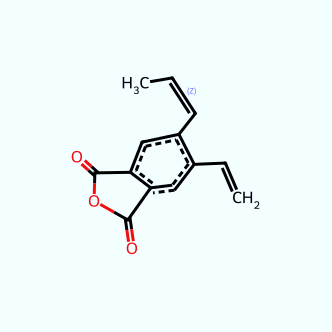 C=Cc1cc2c(cc1/C=C\C)C(=O)OC2=O